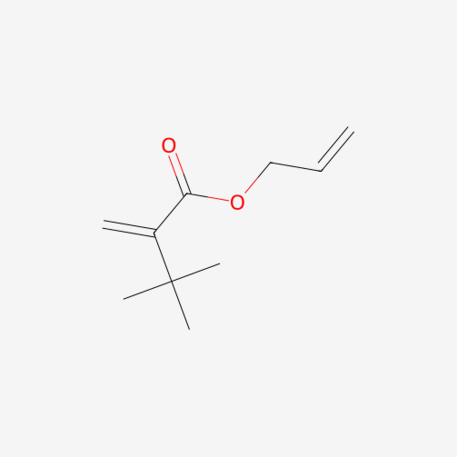 C=CCOC(=O)C(=C)C(C)(C)C